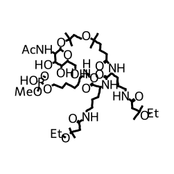 CCOC(C)(C)CC(=O)NCCCCC(NC(=O)C(CCCNC(=O)CC(C)(C)OCC)NC(=O)CCCC(C)(C)OCCC(C)(C)OC1OC(CO)C(O)C(O)C1NC(C)=O)C(=O)ONCCCCCCOP(=O)(O)OC